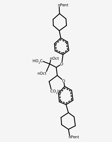 CCCCCCCCC(CCCCCCCC)(C(=O)O)C(Oc1ccc(C2CCC(CCCCC)CC2)cc1)C(CC(=O)O)Oc1ccc(C2CCC(CCCCC)CC2)cc1